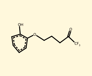 O=C(CCCOc1ccccc1O)C(F)(F)F